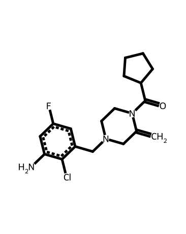 C=C1CN(Cc2cc(F)cc(N)c2Cl)CCN1C(=O)C1CCCC1